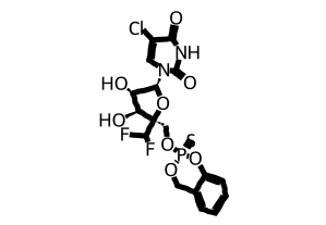 O=c1[nH]c(=O)n([C@@H]2O[C@@](COP3(=S)OCc4ccccc4O3)(C(F)F)[C@@H](O)[C@@H]2O)cc1Cl